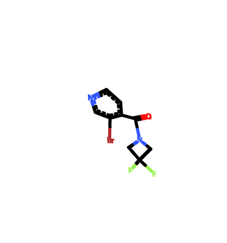 O=C(c1ccncc1Br)N1CC(F)(F)C1